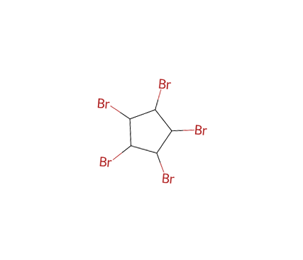 BrC1C(Br)C(Br)C(Br)C1Br